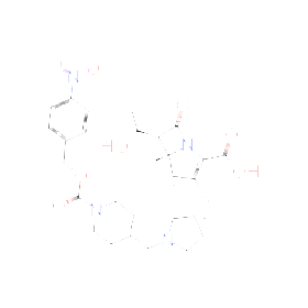 CC(O)[C@H]1C(=O)N2C(C(=O)O)=C(S[C@@H]3CCN(CC4CCN(C(=O)OCc5ccc([N+](=O)[O-])cc5)CC4)C3)[C@H](C)[C@H]12